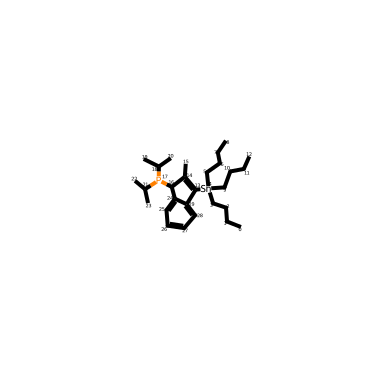 CCC[CH2][Sn]([CH2]CCC)([CH2]CCC)[C]1=C(C)C(P(C(C)C)C(C)C)c2ccccc21